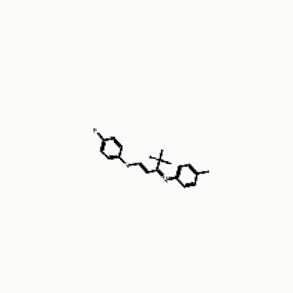 Cc1ccc(/N=C(/C=C/Sc2ccc(F)cc2)C(C)(C)C)cc1